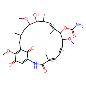 COC1=C2CC(C)CC(OC)C(O)C(C)/C=C(\C)C(OC(N)=O)C(OC)/C=C\C=C(/C)C(=O)NC(=CC1=O)C2=O